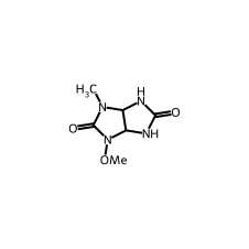 CON1C(=O)N(C)C2NC(=O)NC21